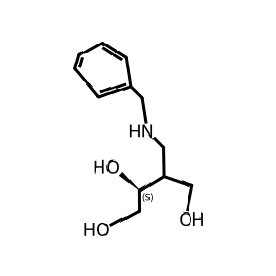 OCC(CNCc1ccccc1)[C@H](O)CO